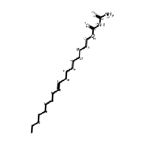 CCCCCCCCC=CCCCCCCCCOC(=O)NC(N)=O